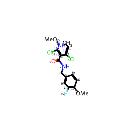 C/C=C(Cl)\C(C(=O)NCc1ccc(OC)c(F)c1)=C(\Cl)NOC